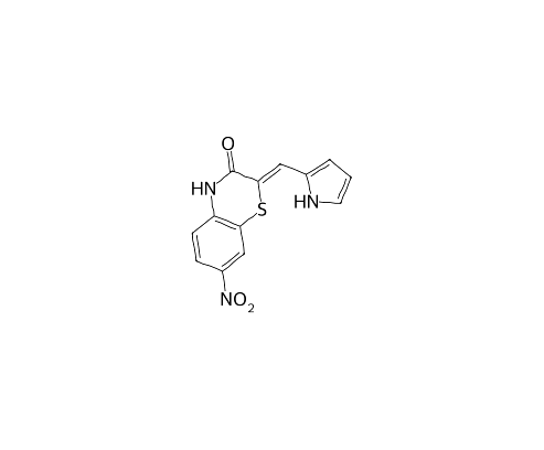 O=C1Nc2ccc([N+](=O)[O-])cc2SC1=Cc1ccc[nH]1